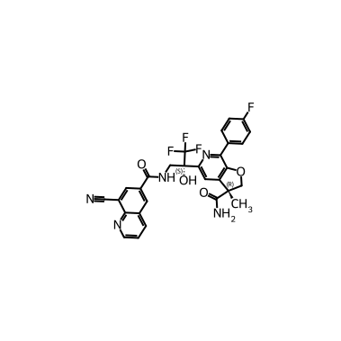 C[C@]1(C(N)=O)COc2c1cc([C@@](O)(CNC(=O)c1cc(C#N)c3ncccc3c1)C(F)(F)F)nc2-c1ccc(F)cc1